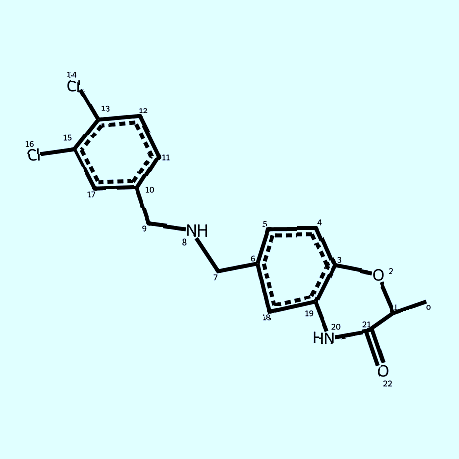 CC1Oc2ccc(CNCc3ccc(Cl)c(Cl)c3)cc2NC1=O